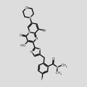 CN(C)C(=O)c1cc(F)ccc1Cc1cnc(-c2nc3c(Br)cc(N4CCOCC4)cn3c(=O)c2O)s1